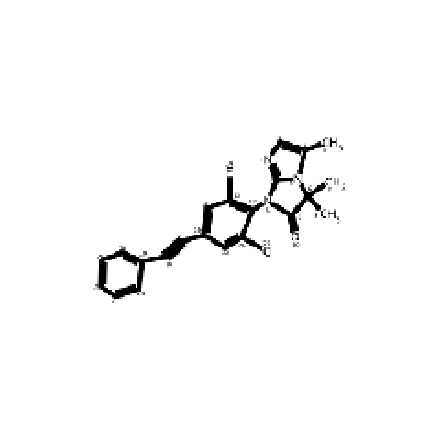 Cc1cnc2n1C(C)(C)C(=O)N2c1c(F)cc(C#Cc2ccccc2)cc1Cl